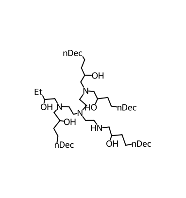 CCCCCCCCCCCCC(O)CNCCN(CCN(CC(O)CC)CC(O)CCCCCCCCCCCC)CCN(CC(O)CCCCCCCCCCCC)CC(O)CCCCCCCCCCCC